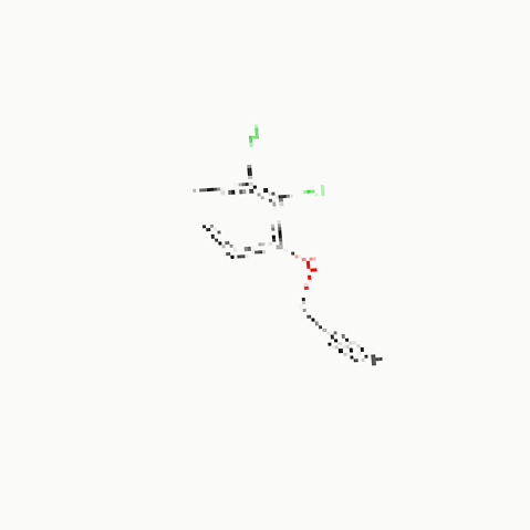 C#CCOc1cc[c]c(Cl)c1Cl